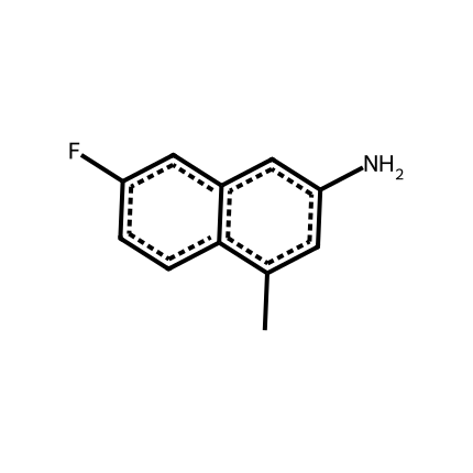 Cc1cc(N)cc2cc(F)ccc12